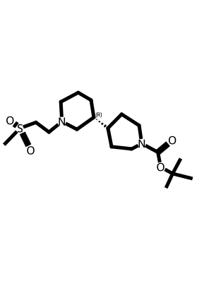 CC(C)(C)OC(=O)N1CCC([C@H]2CCCN(CCS(C)(=O)=O)C2)CC1